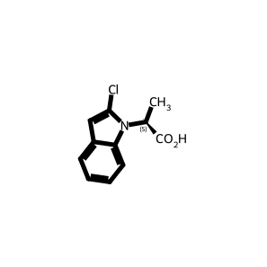 C[C@@H](C(=O)O)n1c(Cl)cc2ccccc21